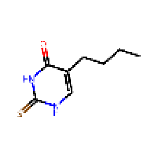 CCCCc1c[nH]c(=S)[nH]c1=O